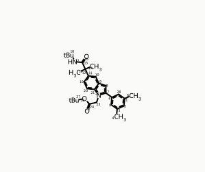 Cc1cc(C)cc(-c2cc3cc(C(C)(C)C(=O)NC(C)(C)C)ccc3n2CC(=O)OC(C)(C)C)c1